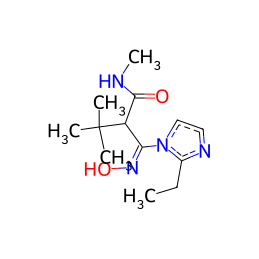 CCc1nccn1C(=NO)C(C(=O)NC)C(C)(C)C